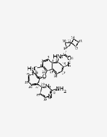 Cc1ccc2c(NC(=O)[C@@H]3CC34CCC4)c(F)ccc2c1Oc1ncccc1-c1ccnc(N)n1